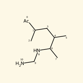 CC(=O)C(C)CC(C)C(C)NCN